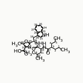 CCCC(CCC)C(=O)NC(CC(C)C)C(=O)N[C@H](Cc1c[nH]c2ccccc12)c1nc(C(=O)O)c(C)o1